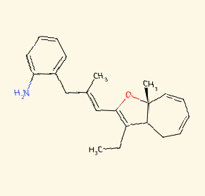 CCC1=C(/C=C(\C)Cc2ccccc2N)O[C@]2(C)C=CC=CCC12